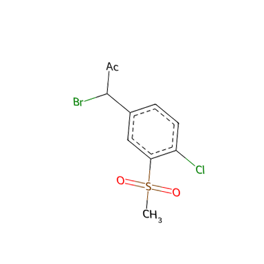 CC(=O)C(Br)c1ccc(Cl)c(S(C)(=O)=O)c1